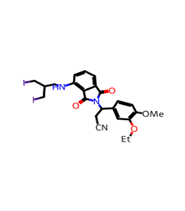 CCOc1cc(C(CC#N)N2C(=O)c3cccc(NCC(CI)CI)c3C2=O)ccc1OC